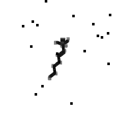 CCCC/C=C/[SiH](C)C